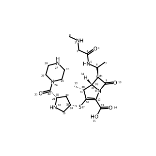 CNCC(=O)NC(C)[C@H]1C(=O)N2C(C(=O)O)=C(S[C@@H]3CN[C@H](C(=O)N4CCNCC4)C3)[C@H](C)[C@H]12